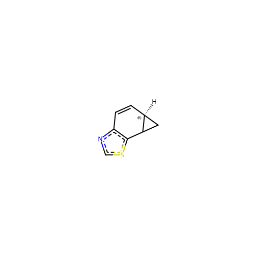 C1=C[C@H]2CC2c2scnc21